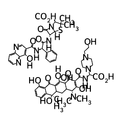 CC1(C)S[C@@H]2[C@H](NC(=O)[C@H](NC(=O)c3cnc4cccnc4c3O)c3ccccc3)C(=O)N2[C@H]1C(=O)O.CN(C)[C@H]1C(O)=C(C(=O)NC(C(=O)O)N2CCN(CCO)CC2)C(=O)[C@]2(O)C(O)=C3C(=O)c4c(O)cccc4[C@](C)(O)C3CC12